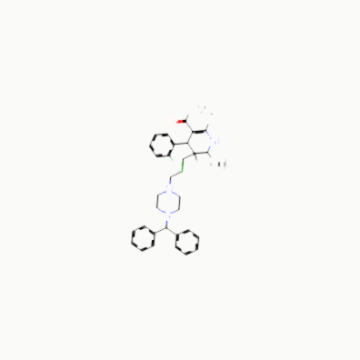 COC(=O)C1=C(C)NC(C)C(CCCN2CCN(C(c3ccccc3)c3ccccc3)CC2)(C(=O)O)C1c1ccccc1Cl